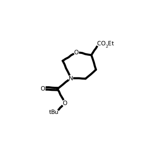 CCOC(=O)C1CCN(C(=O)OC(C)(C)C)CO1